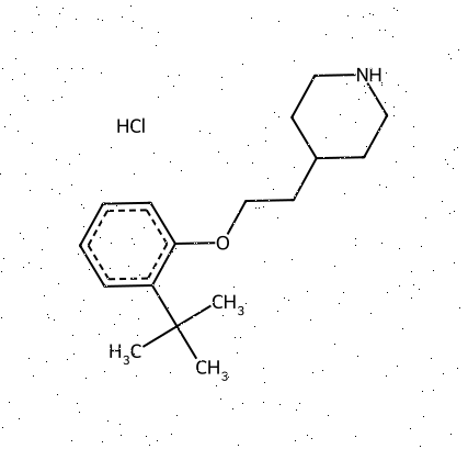 CC(C)(C)c1ccccc1OCCC1CCNCC1.Cl